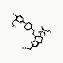 CCc1cc2n(n1)[C@@H](COC1CCN(c3ncc(F)c(OC)n3)CC1)[C@@H](NS(C)(=O)=O)CC2